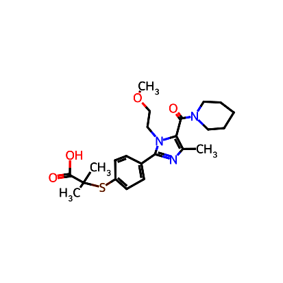 COCCn1c(-c2ccc(SC(C)(C)C(=O)O)cc2)nc(C)c1C(=O)N1CCCCC1